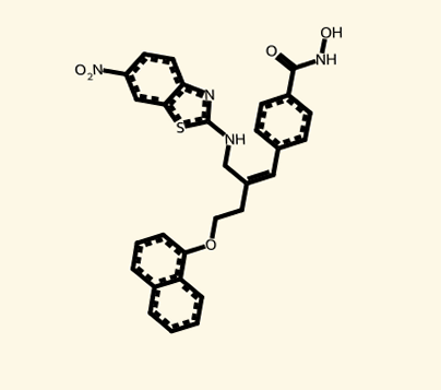 O=C(NO)c1ccc(C=C(CCOc2cccc3ccccc23)CNc2nc3ccc([N+](=O)[O-])cc3s2)cc1